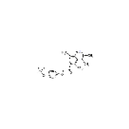 CCN(C)/C=N\c1cc(C)c(C(=O)COc2ccc(OC(F)(F)F)cc2)cc1C